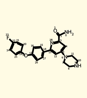 NC(=O)c1cc(N2CCNCC2)cc(-c2ccc(Oc3ccc(F)cc3)cc2)n1